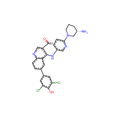 CCC(=O)c1cnc2ccc(-c3cc(Cl)c(O)c(Cl)c3)cc2c1Nc1ccc(N2CCC[C@H](N)C2)nc1